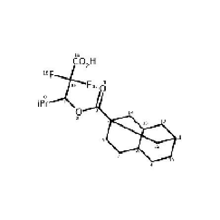 CC(C)C(OC(=O)C12CCC3CCC(CC3C1)C2)C(F)(F)C(=O)O